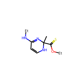 CCNC1=NC(C)(C(=S)OCC)NC=C1